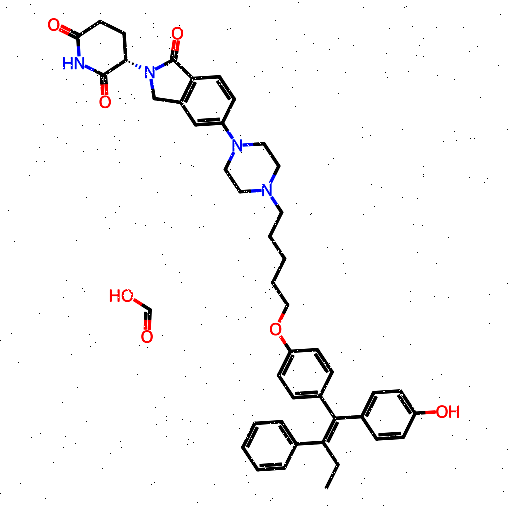 CC/C(=C(\c1ccc(O)cc1)c1ccc(OCCCCCN2CCN(c3ccc4c(c3)CN([C@H]3CCC(=O)NC3=O)C4=O)CC2)cc1)c1ccccc1.O=CO